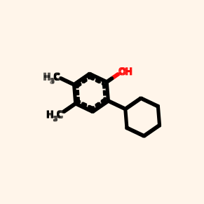 Cc1cc(O)c(C2CCCCC2)cc1C